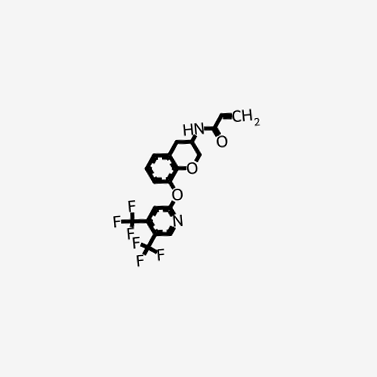 C=CC(=O)NC1COc2c(cccc2Oc2cc(C(F)(F)F)c(C(F)(F)F)cn2)C1